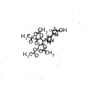 CC(=O)OCC1O[C@@H](OC(C)=O)C(OC(C)=O)C(n2cc(-c3csc(O)n3)nn2)[C@H]1OC(C)=O